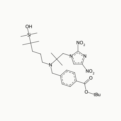 CC(C)(C)OC(=O)c1ccc(CN(CCCC(C)(C)[Si](C)(C)O)C(C)(C)Cn2cc([N+](=O)[O-])nc2[N+](=O)[O-])cc1